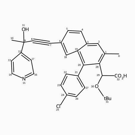 Cc1cc2ccc(C#CC(C)(O)c3ccncc3)cc2c(-c2ccc(Cl)cc2)c1C(OC(C)(C)C)C(=O)O